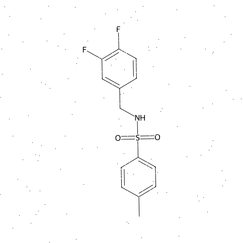 Cc1ccc(S(=O)(=O)NCc2ccc(F)c(F)c2)cc1